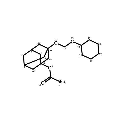 CCC(C)C(=O)OC12CC3CC(CC(OCOC4CCCCC4)(C3)C1)C2